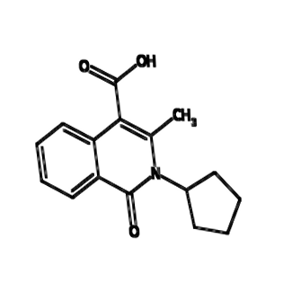 Cc1c(C(=O)O)c2ccccc2c(=O)n1C1CCCC1